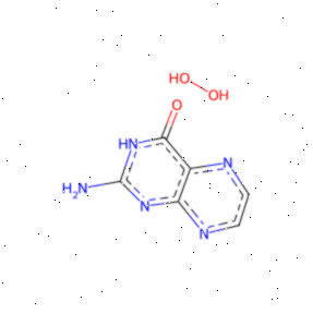 Nc1nc2nccnc2c(=O)[nH]1.OO